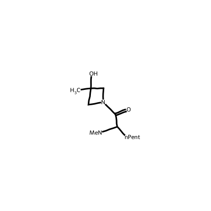 CCCCCC(NC)C(=O)N1CC(C)(O)C1